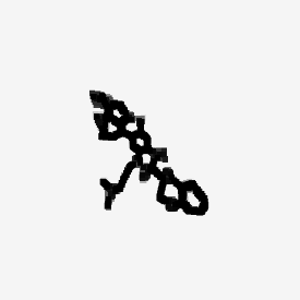 CN(C)CCOc1cc(-c2ccnc3[nH]cnc23)c(F)cc1NC(=O)C1COc2ccccc2O1